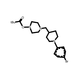 CC(C)(C)C(=O)ON1CCN(CC2CCN(c3ccc(Br)cc3)CC2)CC1